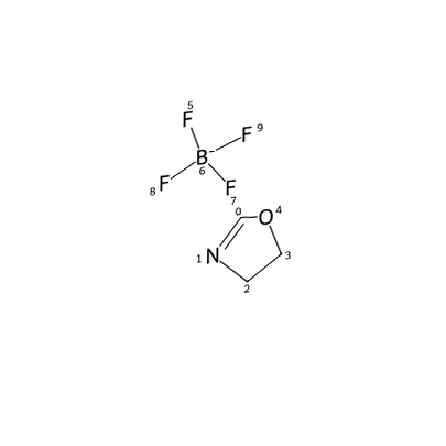 C1=NCCO1.F[B-](F)(F)F